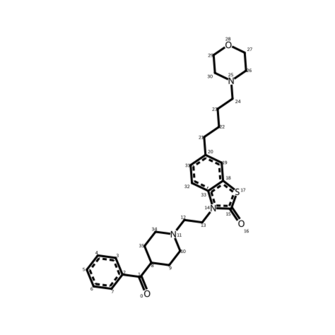 O=C(c1ccccc1)C1CCN(CCn2c(=O)sc3cc(CCCCN4CCOCC4)ccc32)CC1